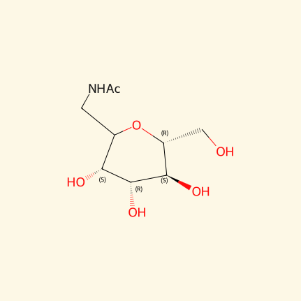 CC(=O)NCC1O[C@H](CO)[C@@H](O)[C@H](O)[C@@H]1O